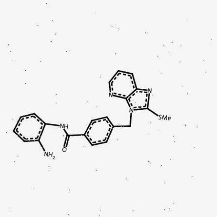 CSc1nc2cccnc2n1Cc1ccc(C(=O)Nc2ccccc2N)cc1